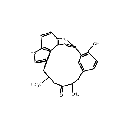 CC1Cc2ccc(O)c(c2)-c2nc3c(ccc4[nH]cc(c43)CC(C(=O)O)CC1=O)o2